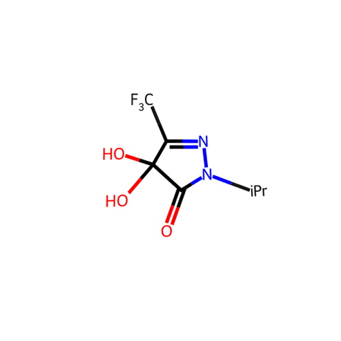 CC(C)N1N=C(C(F)(F)F)C(O)(O)C1=O